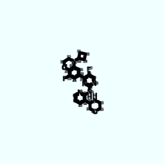 Fc1cnc(Nc2ncccc2C2COCCN2)nc1-c1cc(F)c2c(c1)N(C1CCC1)CCO2